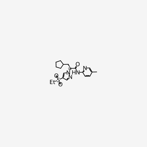 CCS(=O)(=O)c1cnn([C@@H](CC2CCCC2)C(=O)Nc2ccc(C)cn2)c1